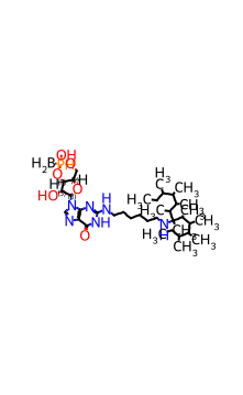 B[PH]1(O)OC[C@H]2O[C@@H](n3cnc4c(=O)[nH]c(NCCCCCCNC(C)(C(C)C(C)C(C)C(C)CC)C(C)C(C)C(C)C(C)CC)nc43)[C@@H](O)[C@H]2O1